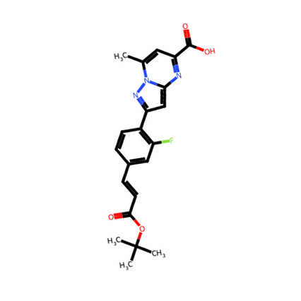 Cc1cc(C(=O)O)nc2cc(-c3ccc(/C=C/C(=O)OC(C)(C)C)cc3F)nn12